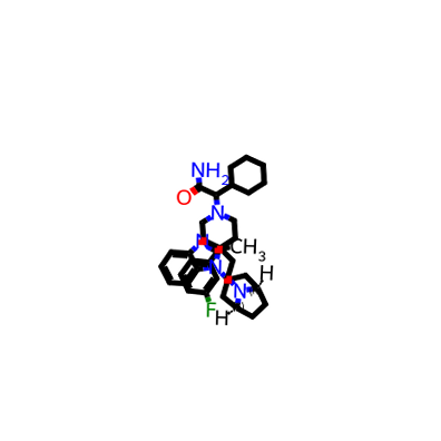 Cc1nc2ccccc2n1C1C[C@H]2CC[C@@H](C1)N2CCC1(c2cccc(F)c2)CCN(C(C(N)=O)C2CCCCC2)CC1